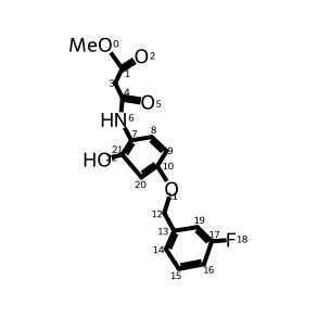 COC(=O)CC(=O)Nc1ccc(OCc2cccc(F)c2)cc1O